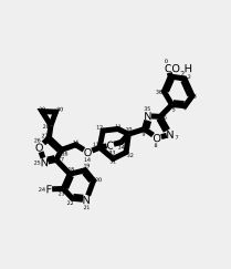 O=C(O)c1cccc(-c2noc(C34CCC(OCc5c(-c6ccncc6F)noc5C5CC5)(CC3)CC4)n2)c1